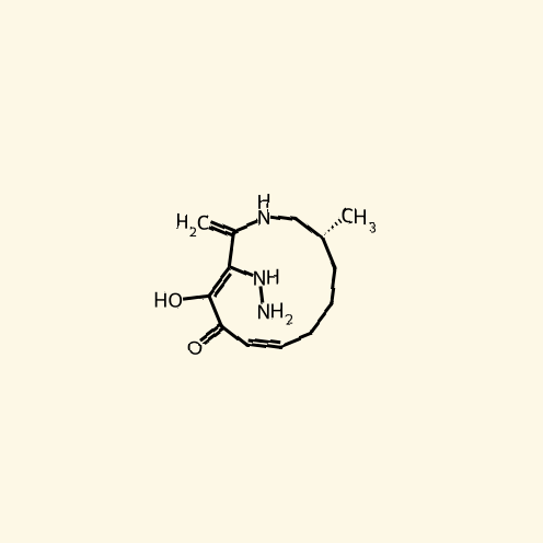 C=C1NC[C@H](C)CCC/C=C\C(=O)/C(O)=C/1NN